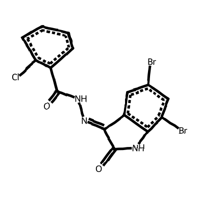 O=C1Nc2c(Br)cc(Br)cc2/C1=N\NC(=O)c1ccccc1Cl